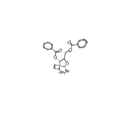 CCCC1C=C[C@@]12[C@H](OC(=O)c1ccccc1)C(COC(=O)c1ccccc1)O[C@@H]2Br